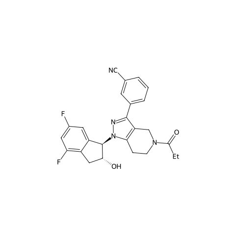 CCC(=O)N1CCc2c(c(-c3cccc(C#N)c3)nn2[C@@H]2c3cc(F)cc(F)c3C[C@H]2O)C1